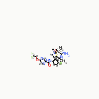 CC1(C)C(N)=N[C@](C)(c2cc(NC(=O)c3cnc(OCC(F)F)cn3)ccc2F)[C@@H]2CCN=[S@@]21=O